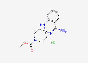 COC(=O)N1CCC2(CC1)N=C(N)c1ccccc1N2.Cl